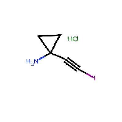 Cl.NC1(C#CI)CC1